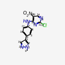 Cn1cc(-c2ccc(Nc3nc(Cl)ncc3[N+](=O)[O-])cc2)cn1